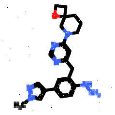 Cn1cc(-c2ccc(NN)c(Cc3cc(N4CCCC5(CCO5)C4)ncn3)c2)cn1